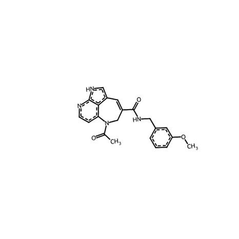 COc1cccc(CNC(=O)C2=Cc3c[nH]c4nccc(c34)N(C(C)=O)C2)c1